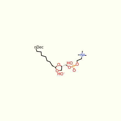 CCCCCCCCCCCCCCCCC[C@@H]1OC[C@@H](COP(=O)(O)OCC[N+](C)(C)C)O1.[OH-]